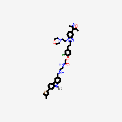 CCn1c2ccc(CNCCNC(=O)COc3ccc(CCc4nc5cc(-c6c(C)noc6C)ccc5n4CCN4CCOCC4)cc3F)cc2c2ccc(-c3cc(C)cs3)cc21